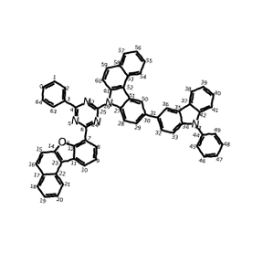 c1ccc(-c2nc(-c3cccc4c3oc3ccc5ccccc5c34)nc(-n3c4ccc(-c5ccc6c(c5)c5ccccc5n6-c5ccccc5)cc4c4c5ccccc5ccc43)n2)cc1